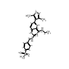 Cc1noc(C)c1-c1ccc2nc(NCc3ccc(S(N)(=O)=O)cc3)nc(NCC(F)(F)F)c2n1